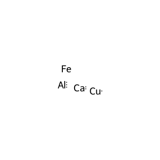 [Al].[Ca].[Cu].[Fe]